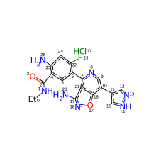 CCNC(=O)c1cc(-c2ncc(-c3cn[nH]c3)c3onc(N)c23)c(F)cc1N.Cl